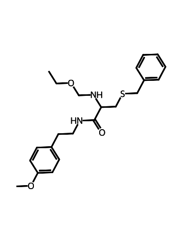 CCOCNC(CSCc1ccccc1)C(=O)NCCc1ccc(OC)cc1